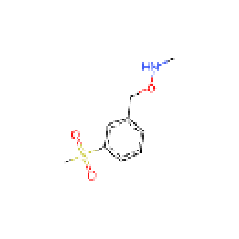 CNOCc1cccc(S(C)(=O)=O)c1